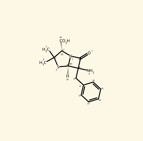 CC1(C)S[C@H]2N(C(=O)C2(N)Cc2ccccc2)[C@H]1C(=O)O